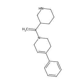 C=C(C1CCCNC1)N1CC=C(c2ccccc2)CC1